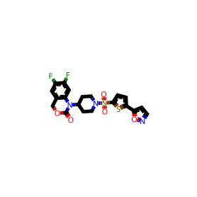 O=C1OCc2cc(F)c(F)cc2N1C1CCN(S(=O)(=O)c2ccc(-c3ccno3)s2)CC1